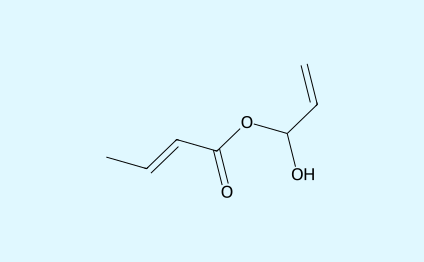 C=CC(O)OC(=O)C=CC